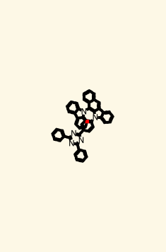 c1ccc(-c2nc(-c3ccccc3)nc(-c3ccc(-n4c5ccccc5c5cc6ccccc6c(-n6c7ccccc7c7ccccc76)c54)cc3)n2)cc1